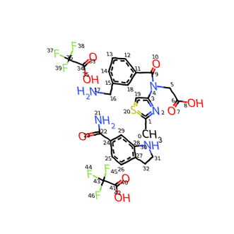 Cc1nc(N(CC(=O)O)C(=O)c2cccc(CN)c2)cs1.NC(=O)c1ccc2c(c1)NCC2.O=C(O)C(F)(F)F.O=C(O)C(F)(F)F